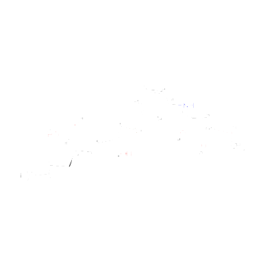 CCCC[C@H](CC[C@@H](O)CSc1cccc(NC(=O)CC(=O)OC)c1)C(=O)O